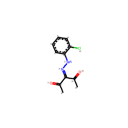 CC(=O)C(=NNc1ccccc1Cl)C(C)=O